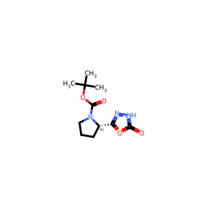 CC(C)(C)OC(=O)N1CCC[C@H]1c1n[nH]c(=O)o1